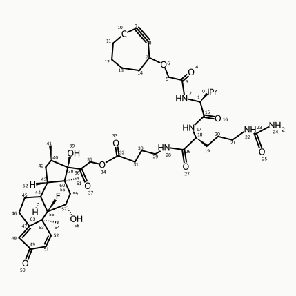 CC(C)[C@H](NC(=O)COC1C#CCCCCC1)C(=O)N[C@@H](CCCNC(N)=O)C(=O)NCCCC(=O)OCC(=O)[C@@]1(O)[C@H](C)C[C@H]2[C@@H]3CCC4=CC(=O)C=C[C@]4(C)[C@@]3(F)[C@@H](O)C[C@@]21C